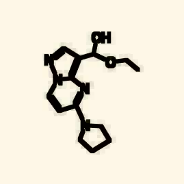 CCOC(O)c1cnn2ccc(N3CCCC3)nc12